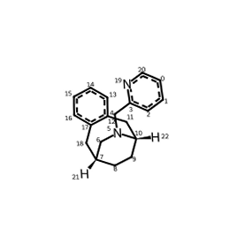 c1ccc(CN2C[C@@H]3CC[C@H]2Cc2ccccc2C3)nc1